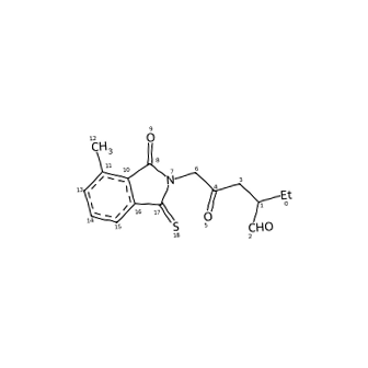 CCC(C=O)CC(=O)CN1C(=O)c2c(C)cccc2C1=S